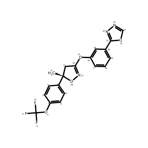 C[C@@]1(c2ccc(OC(F)(F)F)cc2)CC(Oc2cccc(-c3nnco3)c2)=NO1